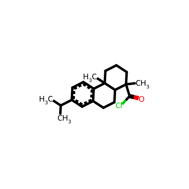 CC(C)c1ccc2c(c1)CCC1C(C)(C(=O)Cl)CCCC21C